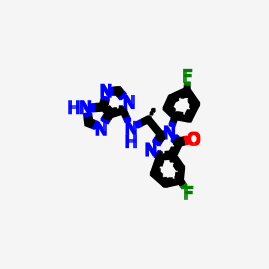 C[C@@H](Nc1ncnc2[nH]cnc12)c1nc2ccc(F)cc2c(=O)n1-c1ccc(F)cc1